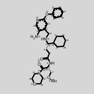 CC(C)(C)OC[C@@H](NC(=O)CC[C@H](NCc1cc(Oc2ccccc2)ncc1N)C1CCCCC1)C(=O)N1CCOCC1